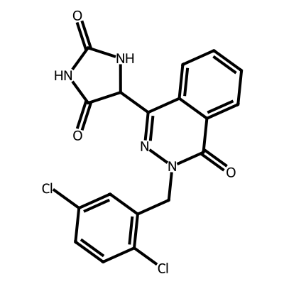 O=C1NC(=O)C(c2nn(Cc3cc(Cl)ccc3Cl)c(=O)c3ccccc23)N1